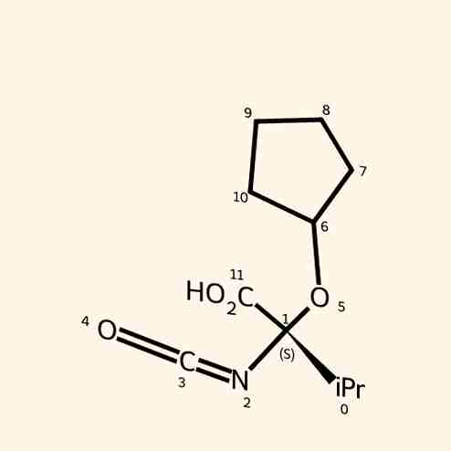 CC(C)[C@](N=C=O)(OC1CCCC1)C(=O)O